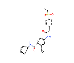 CCS(=O)(=O)c1ccc(CC(=O)Nc2ccc(C(=O)Nc3ccccc3)c(C3CC3)c2)cc1